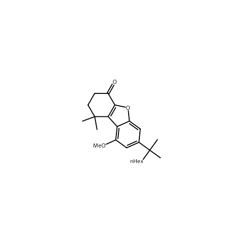 CCCCCCC(C)(C)c1cc(OC)c2c3c(oc2c1)C(=O)CCC3(C)C